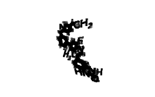 C=Cc1ccc(CC2C=CC=C(c3cc(C)c(/N=C\Cc4ccc5[nH]c(=O)[nH]c5c4)c(F)c3)C2)nc1